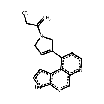 C=C(CC(F)(F)F)N1CC=C(c2ccnc3cnc4[nH]ccc4c23)C1